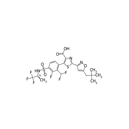 C[C@H](NS(=O)(=O)c1ccc(-c2sc(-c3cc(CC(C)(C)C)on3)nc2C(=O)O)c(C(F)F)c1F)C(F)(F)F